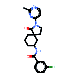 Cc1nccc(N2CCC3(CCCC(NC(=O)c4cccc(Cl)c4)C3)C2=O)n1